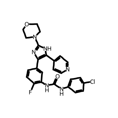 O=C(Nc1ccc(Cl)cc1)Nc1cc(-c2nc(N3CCOCC3)[nH]c2-c2ccncc2)ccc1F